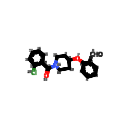 O=Cc1ccccc1OC1CCN(C(=O)c2ccccc2Cl)CC1